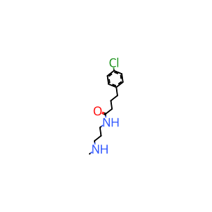 CNCCCNC(=O)CCCc1ccc(Cl)cc1